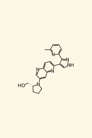 Cc1cccc(-c2n[nH]cc2-c2ccc3ncc(N4CCC[C@@H]4CO)cc3n2)n1